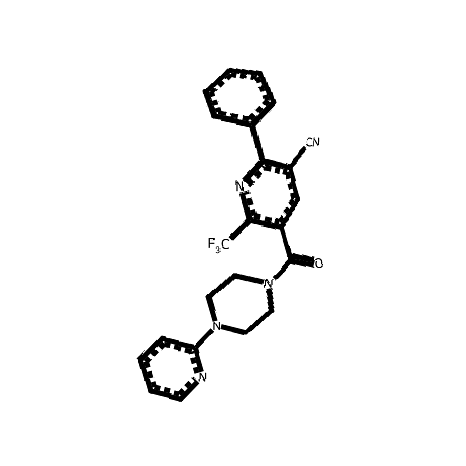 N#Cc1cc(C(=O)N2CCN(c3ccccn3)CC2)c(C(F)(F)F)nc1-c1ccccc1